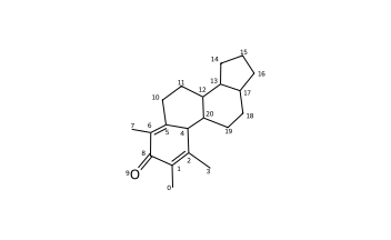 CC1=C(C)C2C(=C(C)C1=O)CCC1C3CCCC3CCC21